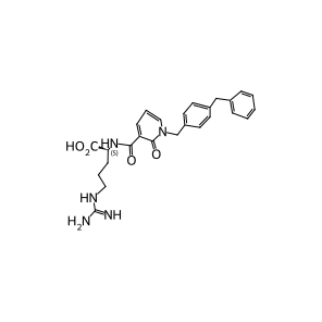 N=C(N)NCCC[C@H](NC(=O)c1cccn(Cc2ccc(Cc3ccccc3)cc2)c1=O)C(=O)O